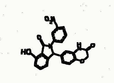 O=C1COc2ccc(C3c4cccc(O)c4C(=O)N3c3cccc([N+](=O)[O-])c3)cc2N1